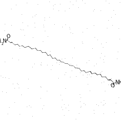 NC(=O)C=CCCCCCCCCCCCCCCCCCCCCCCCCCCCCCCCCCCCCC=CC(N)=O